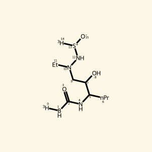 [3H]BC(=O)NC(CCC)C(O)CN(CC)N[S+]([3H])[O-]